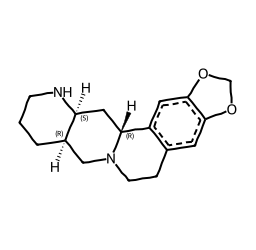 c1c2c(cc3c1OCO3)[C@H]1C[C@@H]3NCCC[C@@H]3CN1CC2